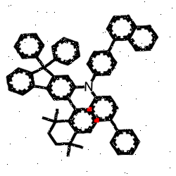 CC1(C)CCC(C)(C)c2c(-c3cc4c(cc3N(c3ccc(-c5ccccc5)cc3)c3ccc(-c5cccc6ccccc56)cc3)C(c3ccccc3)(c3ccccc3)c3ccccc3-4)cccc21